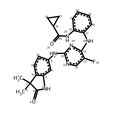 CC1(C)C(=O)Nc2cc(Nc3ncc(F)c(Nc4ccccc4NC(=O)C4CC4)n3)ccc21